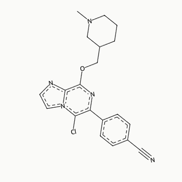 CN1CCCC(COc2nc(-c3ccc(C#N)cc3)c(Cl)n3ccnc23)C1